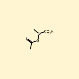 CC(=S)SN(C)C(=O)O